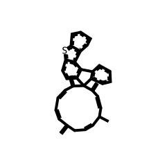 C=C1/C=C\C=C/C(=C)C2(C(=C)/C=C\C(C)/C=C\C1)c1ccccc1-c1c2ccc2sc3ccccc3c12